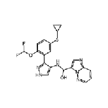 OC(Nc1c[nH]nc1-c1cc(SC2CC2)ccc1OC(F)F)c1cnc2cccnn12